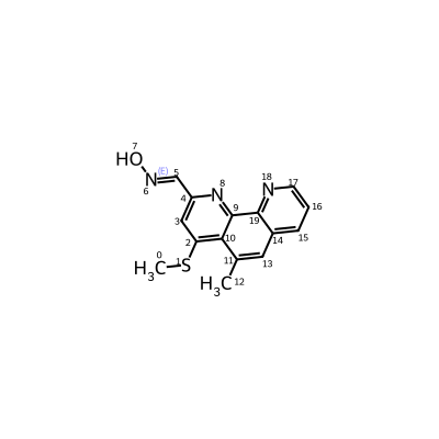 CSc1cc(/C=N/O)nc2c1c(C)cc1cccnc12